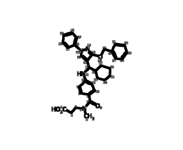 CN(CCC(=O)O)C(=O)c1ccc(NC(c2cn(-c3ccccc3)nc2OCc2ccccc2)C2CCCCC2)cc1